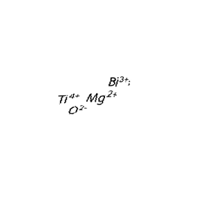 [Bi+3].[Mg+2].[O-2].[Ti+4]